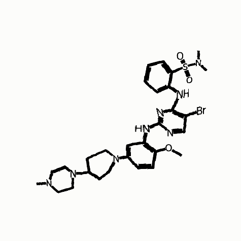 COc1ccc(N2CCC(N3CCN(C)CC3)CC2)cc1Nc1ncc(Br)c(Nc2ccccc2S(=O)(=O)N(C)C)n1